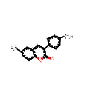 O=C(O)c1ccc(-c2cc3cc([N+](=O)[O-])ccc3oc2=O)cc1